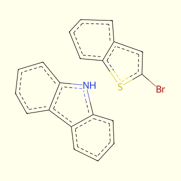 Brc1cc2ccccc2s1.c1ccc2c(c1)[nH]c1ccccc12